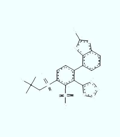 CC(C)(N)CS(=O)(=O)c1ccc(-c2cccc3sc(N)nc23)c(-c2nn[nH]n2)c1S(N)(=O)=O